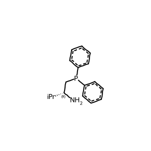 CC(C)[C@@H](N)CP(c1ccccc1)c1ccccc1